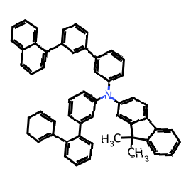 CC1(C)c2ccccc2-c2ccc(N(c3cccc(-c4cccc(-c5cccc6ccccc56)c4)c3)c3cccc(-c4ccccc4C4=CCCC=C4)c3)cc21